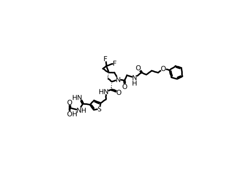 N=C(NC(=O)O)c1csc(CNC(=O)[C@@H]2C[C@]3(CN2C(=O)CNC(=O)CCCOc2ccccc2)CC3(F)F)c1